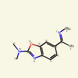 CCCC(=NC(C)(C)C)c1ccc2nc(N(C)C)oc2c1